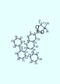 CC1(C)OB(c2ccc3cc(-c4c(-c5ccccc5)cccc4-c4ccccc4)ccc3c2)OC1(C)C